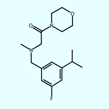 CC(C)c1cc(F)cc(CN(C)CC(=O)N2CCOCC2)c1